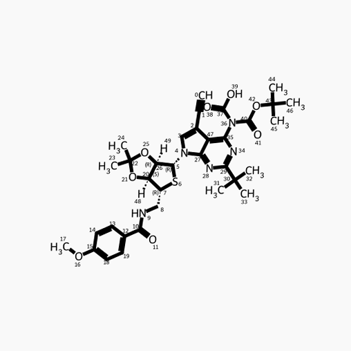 C#Cc1cn([C@@H]2S[C@H](CNC(=O)c3ccc(OC)cc3)[C@H]3OC(C)(C)O[C@H]32)c2nc(C(C)(C)C)nc(N(C(=O)O)C(=O)OC(C)(C)C)c12